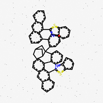 c1ccc(C2(c3ccccc3-c3cccc4cc5ccccc5c(-c5nc6ccccc6s5)c34)CC3CCC2C3)c(-c2cccc3cc4ccccc4c(-c4nc5ccccc5s4)c23)c1